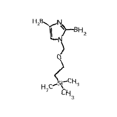 Bc1cn(COCC[Si](C)(C)C)c(B)n1